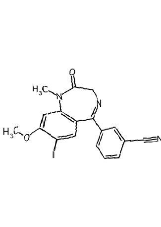 COc1cc2c(cc1I)C(c1cccc(C#N)c1)=NCC(=O)N2C